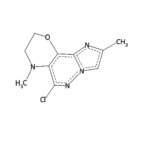 Cc1cn2nc(Cl)c3c(c2n1)OCCN3C